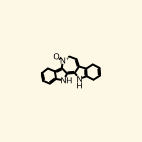 O=[N+]1CC=c2c3c([nH]c2=c2[nH]c4c(c21)CC=CC=4)CC=CC3